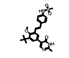 COc1c(C=Cc2ccc(NS(C)(=O)=O)cc2)cc(-c2cnc(C)[nH]c2=O)cc1C(C)(C)C